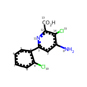 Nc1cc(-c2ccccc2Cl)nc(C(=O)O)c1Cl